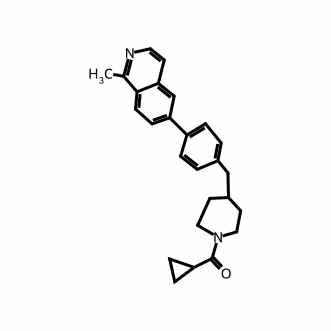 Cc1nccc2cc(-c3ccc(CC4CCN(C(=O)C5CC5)CC4)cc3)ccc12